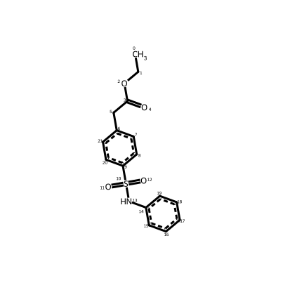 CCOC(=O)Cc1ccc(S(=O)(=O)Nc2cc[c]cc2)cc1